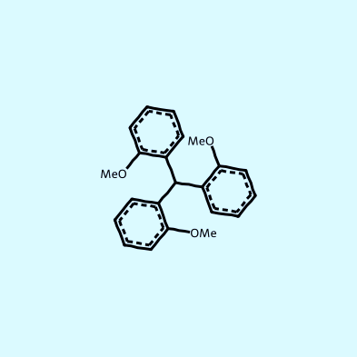 COc1ccccc1C(c1ccccc1OC)c1ccccc1OC